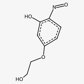 O=Nc1ccc(OCCO)cc1O